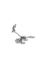 CCCCCCCCCCCCCC[C@@H](O)[C@@H](O)[C@H](CO[C@H]1OC(CO)[C@H](O)[C@H](O)C1O)NC(=O)CCCCCCCCCCc1ccc(Oc2ccc(F)cc2)cc1F